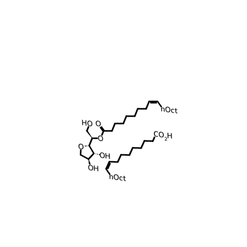 CCCCCCCC/C=C\CCCCCCCC(=O)O.CCCCCCCC/C=C\CCCCCCCC(=O)O[C@H](CO)[C@H]1OC[C@H](O)[C@H]1O